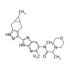 Cc1nc2[nH]c(-c3n[nH]c4c3CC3C(C)C3C4)nc2cc1N(C)C(=O)C(C)N1CCOCC1